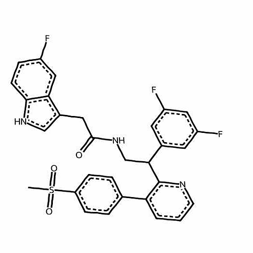 CS(=O)(=O)c1ccc(-c2cccnc2C(CNC(=O)Cc2c[nH]c3ccc(F)cc23)c2cc(F)cc(F)c2)cc1